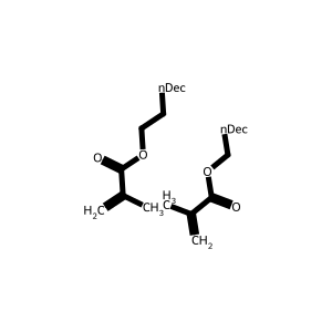 C=C(C)C(=O)OCCCCCCCCCCC.C=C(C)C(=O)OCCCCCCCCCCCC